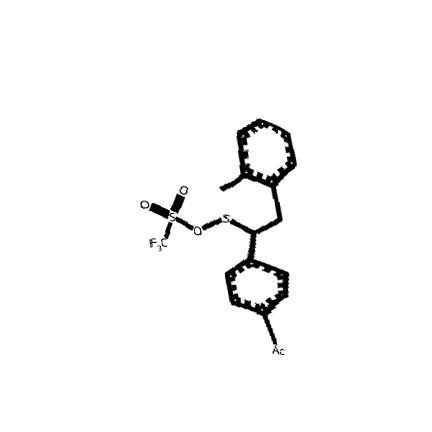 CC(=O)c1ccc(C(Cc2ccccc2C)SOS(=O)(=O)C(F)(F)F)cc1